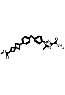 COC(=O)C1CC2(C1)CC(c1ccc(Cc3ccc(-n4nc(C(N)=O)nc4C)cc3)cc1)C2